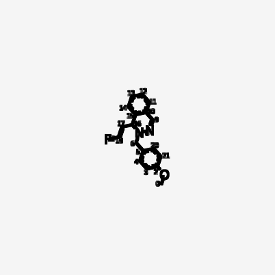 COc1ccc(CN2N=Cc3ccccc3C2C=CF)cc1